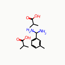 CC(C)C(=O)O.CC(C)C(=O)O.Cc1cccc(C(N)N)c1